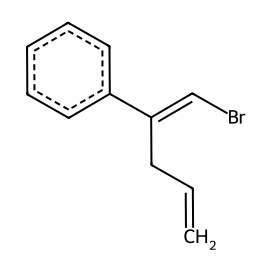 C=CCC(=CBr)c1ccccc1